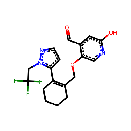 O=Cc1cc(O)ncc1OCC1=C(c2ccnn2CC(F)(F)F)CCCC1